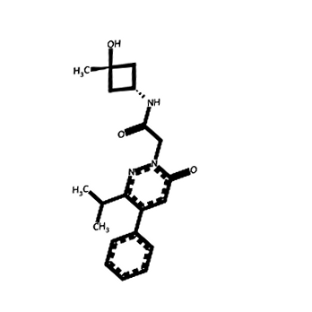 CC(C)c1nn(CC(=O)N[C@H]2C[C@@](C)(O)C2)c(=O)cc1-c1ccccc1